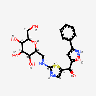 O=C(c1cc(-c2ccccc2)no1)c1cnc(NCC2OC(CO)C(O)C(O)C2O)s1